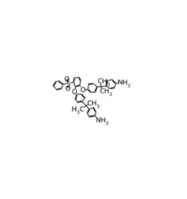 CC(C)(c1ccc(N)cc1)c1ccc(Oc2cccc(S(=O)(=O)c3ccccc3)c2Oc2ccc(C(C)(C)c3ccc(N)cc3)cc2)cc1